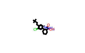 CN(C(N)=O)C1(c2ccc(CCC(C)(C)C)c(Cl)c2)CCCCC1CO